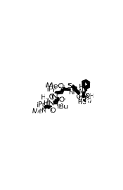 CCC(C)[C@H](NC(=O)[C@@H](NC)C(C)C)C(=O)N(C)[C@H](CC(OC)c1nc(C(=O)N[C@@H](Cc2ccccc2)C(=O)P(=O)(O)O)cs1)C(C)C